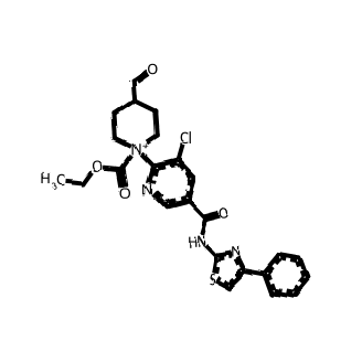 CCOC(=O)[N+]1(c2ncc(C(=O)Nc3nc(-c4ccccc4)cs3)cc2Cl)CCC([C]=O)CC1